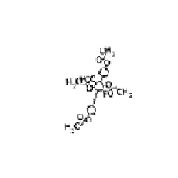 C=CC(=O)Oc1ccc(C#Cc2c(F)c(OC(=O)C=C)c(-c3ccc(OC(=O)C=C)cc3)c(C)c2OC(=O)C=C)cc1